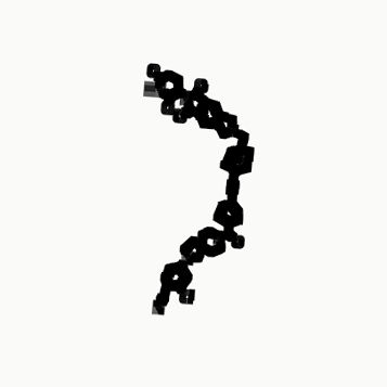 N#Cc1ccc(N2CCC3(CCN(C(=O)c4ccc(C#CC56CCC(CN7Cc8cc9c(cc8C7)C(=O)N(C7CCC(=O)NC7=O)C9=O)(CC5)CC6)cc4)CC3)C2)cc1Cl